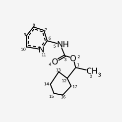 CC(OC(=O)Nc1ccccn1)C1CCCCC1